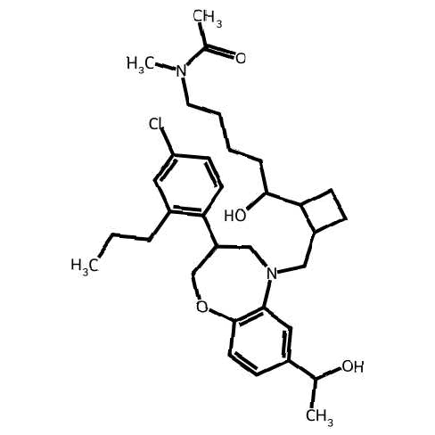 CCCc1cc(Cl)ccc1C1COc2ccc(C(C)O)cc2N(CC2CCC2C(O)CCCCN(C)C(C)=O)C1